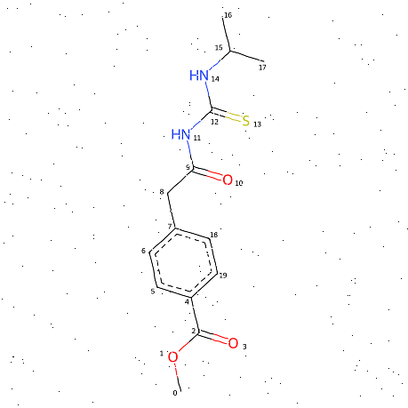 COC(=O)c1ccc(CC(=O)NC(=S)NC(C)C)cc1